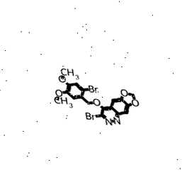 COc1cc(Br)c(COc2c(Br)nnc3cc4c(cc23)OCO4)cc1OC